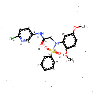 COc1ccc(OC)c(N(CC(=O)Nc2ccc(Cl)nc2)S(=O)(=O)c2ccccc2)c1